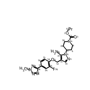 CC(C)OC(=O)N1CCC(n2ncc(COc3ccc(-c4nnn(C)n4)cc3F)c2N)CC1